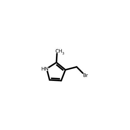 Cc1[nH]ccc1CBr